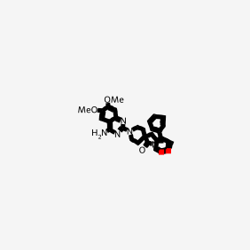 COc1cc2nc(N3CCC(Cc4ccccc4)(C(=O)N4CCCC4c4ccccc4)CC3)nc(N)c2cc1OC